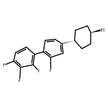 CC[C@H]1CC[C@H](c2ccc(-c3ccc(F)c(F)c3F)c(F)c2)CC1